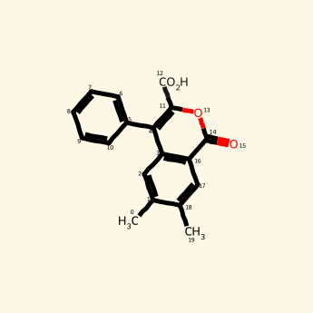 Cc1cc2c(-c3ccccc3)c(C(=O)O)oc(=O)c2cc1C